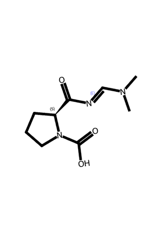 CN(C)/C=N/C(=O)[C@@H]1CCCN1C(=O)O